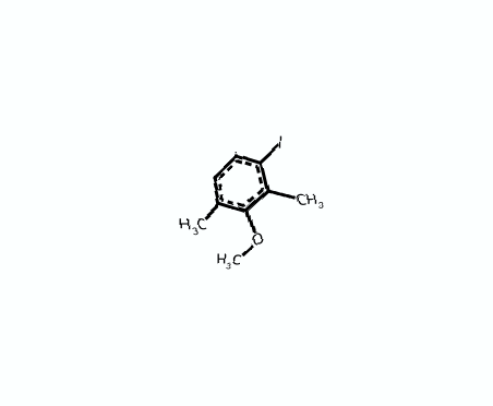 COc1c(C)c[c]c(I)c1C